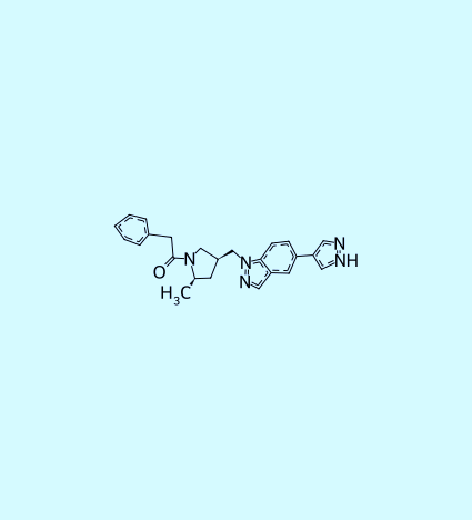 C[C@@H]1C[C@H](Cn2ncc3cc(-c4cn[nH]c4)ccc32)CN1C(=O)Cc1ccccc1